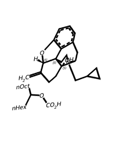 C=C1CC[C@@]2(O)C3Cc4cccc5c4[C@@]2(CCN3CC2CC2)[C@H]1O5.CCCCCCCCC(CCCCCC)OC(=O)O